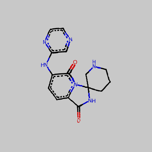 O=C1NC2(CCCNC2)n2c1ccc(Nc1cnccn1)c2=O